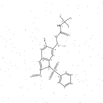 C[C@@H](OC(=O)NC(C)(C)C)c1cc2c(cc1F)cc(C=O)n2S(=O)(=O)c1ccccc1